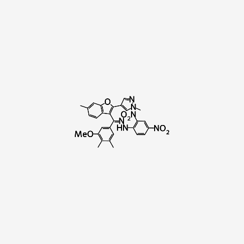 COc1cc(/C(=N\Nc2ccc([N+](=O)[O-])cc2[N+](=O)[O-])c2c(-c3cnn(C)c3)oc3cc(C)ccc23)cc(C)c1C